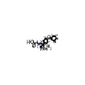 CC(/C=C/CC(=O)O)(C(=O)O)c1ccc(Oc2ccccc2)cc1